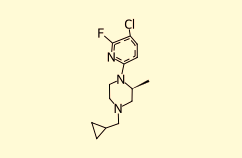 C[C@H]1CN(CC2CC2)CCN1c1ccc(Cl)c(F)n1